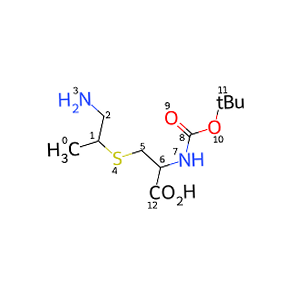 CC(CN)SCC(NC(=O)OC(C)(C)C)C(=O)O